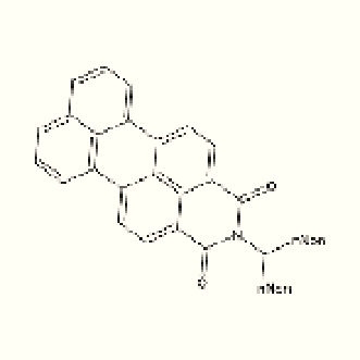 CCCCCCCCCC(CCCCCCCCC)N1C(=O)c2ccc3c4cccc5cccc(c6ccc(c2c36)C1=O)c54